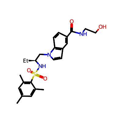 CC[C@@H](Cn1ccc2cc(C(=O)NCCO)ccc21)NS(=O)(=O)c1c(C)cc(C)cc1C